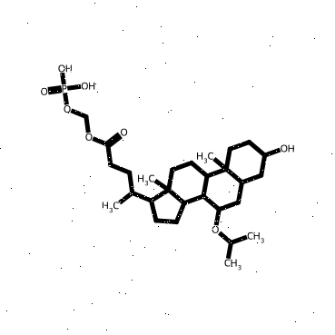 CC(C)OC1CC2CC(O)CCC2(C)C2CCC3(C)C(C(C)CCC(=O)OCOP(=O)(O)O)CCC3C12